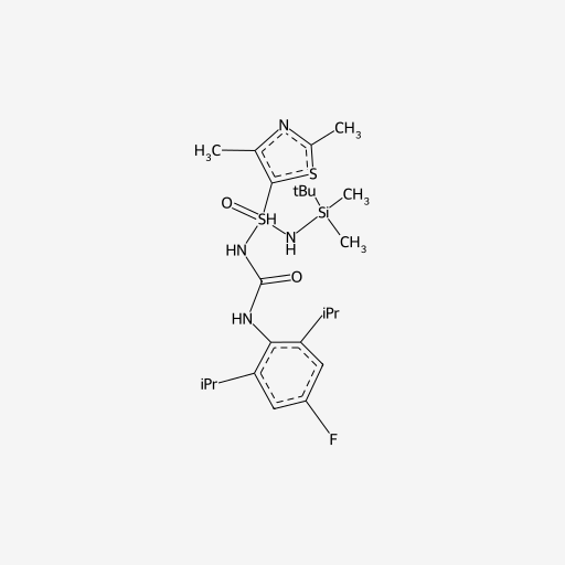 Cc1nc(C)c([SH](=O)(NC(=O)Nc2c(C(C)C)cc(F)cc2C(C)C)N[Si](C)(C)C(C)(C)C)s1